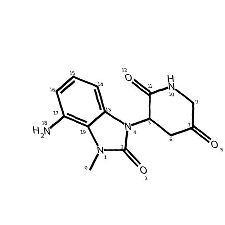 Cn1c(=O)n(C2CC(=O)CNC2=O)c2cccc(N)c21